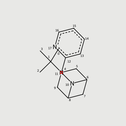 CC(C)(C)N1CC2CC(C1)N2Cc1ccccn1